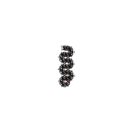 C[SiH](C)O[Si](C)(C)O[Si](C)(C)O[Si](C)(C)O[Si](C)(C)O[Si](C)(C)O[Si](C)(C)O[Si](C)(C)O[Si](C)(C)O[Si](C)(C)O[Si](C)(C)O[Si](C)(C)O[Si](C)(C)O[Si](C)(C)O[Si](C)(C)O[Si](C)(C)O[Si](C)(C)O[Si](C)(C)O[Si](C)(C)O[Si](C)(C)O[Si](C)(C)O[Si](C)(C)O[Si](C)(C)O[Si](C)(C)O[Si](C)(C)OO[Si](C)(C)C